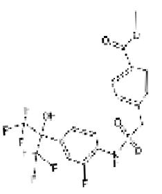 COC(=O)c1ccc(CS(=O)(=O)Nc2ccc(C(O)(C(F)(F)F)C(F)(F)F)cc2F)cc1